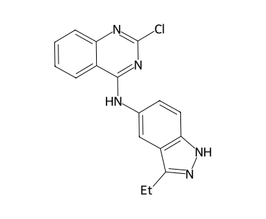 CCc1n[nH]c2ccc(Nc3nc(Cl)nc4ccccc34)cc12